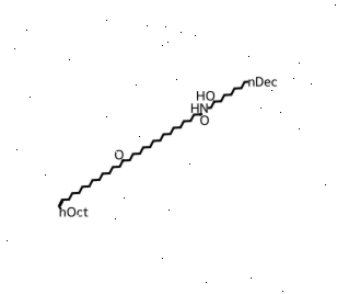 CCCCCCCC/C=C\CCCCCCCCCCCC(=O)CCCCCCCCCCCCCCC(=O)NC[C@H](O)CCCCCCCCCCCCCCCC